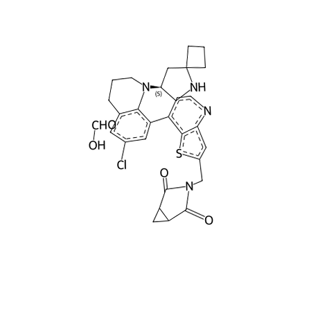 O=C1C2CC2C(=O)N1Cc1cc2nccc(-c3cc(Cl)cc4c3N([C@@H]3CNC5(CCC5)C3)CCC4)c2s1.O=CO